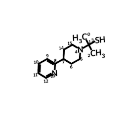 CC(C)(S)N1CCC(c2ccccn2)CC1